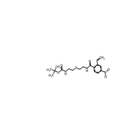 C=Cc1cc([N+](=O)[O-])ccc1C(=O)NCCOCCNC(=O)OC(C)(C)C